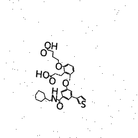 O=C(O)CCCOc1cccc(COc2cc(C(=O)NCC3CCCCC3)cc(-c3ccsc3)c2)c1CCC(=O)O